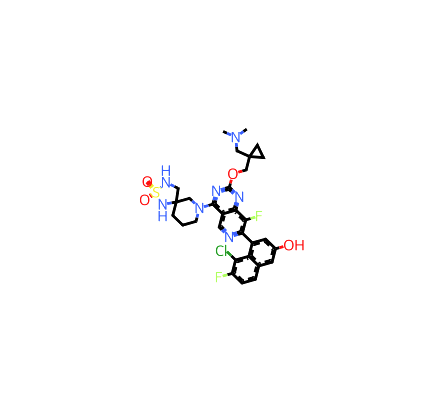 CN(C)CC1(COc2nc(N3CCCC4(CNS(=O)(=O)N4)C3)c3cnc(-c4cc(O)cc5ccc(F)c(Cl)c45)c(F)c3n2)CC1